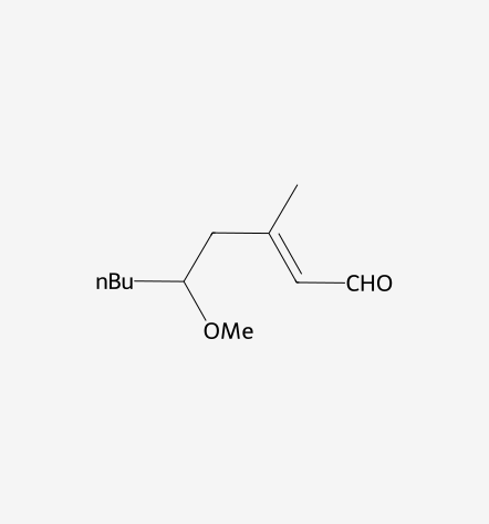 CCCCC(CC(C)=CC=O)OC